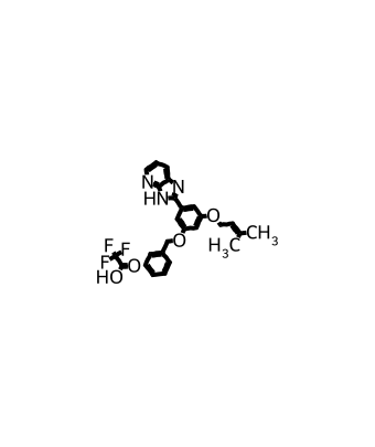 CC(C)=CCOc1cc(OCc2ccccc2)cc(-c2nc3cccnc3[nH]2)c1.O=C(O)C(F)(F)F